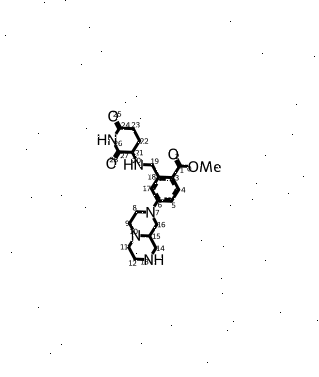 COC(=O)c1ccc(N2CCN3CCNCC3C2)cc1CNC1CCC(=O)NC1=O